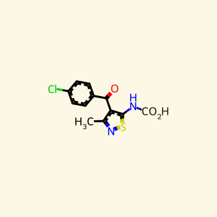 Cc1nsc(NC(=O)O)c1C(=O)c1ccc(Cl)cc1